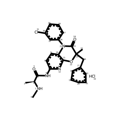 CN[C@@H](C)C(=O)Nc1ccc2c(n1)OC(C)(Cc1ccccc1)C(=O)N2c1cccc(Cl)c1.Cl